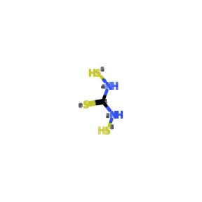 S=C(NS)NS